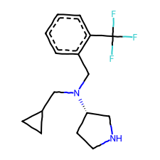 FC(F)(F)c1ccccc1CN(CC1CC1)[C@H]1CCNC1